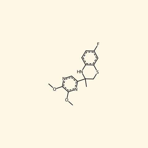 COc1ncc(C2(C)CSc3cc(F)ccc3N2)nc1OC